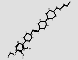 C/C=C/CCC1CCC(C2CCC(/C=C/C3CCC(c4ccc(OCC)c(F)c4F)CC3)CC2)CC1